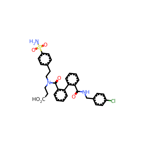 NS(=O)(=O)c1ccc(CCN(CCC(=O)O)C(=O)c2ccccc2-c2ccccc2C(=O)NCc2ccc(Cl)cc2)cc1